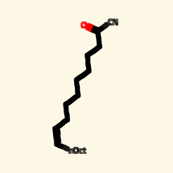 CCCCCCCC/C=C\CCCCCCCC(=O)C#N